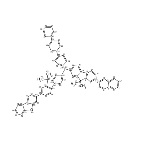 CC1(C)c2cc(-c3ccc4ccccc4c3)ccc2-c2ccc(C(c3ccc(-c4ccc(-c5ccccc5)cc4)cc3)c3ccc4c(c3)C(C)(C)c3cc(-c5ccc6c(c5)oc5ccccc56)ccc3-4)cc21